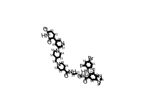 Cn1cnc2c(F)c(Nc3ccc(Br)cc3F)c(C(=O)NOCCNC(=O)C3CCN(CC4CCN(c5cncc(C6CCC(=O)NC6=O)c5)CC4)CC3)cc21